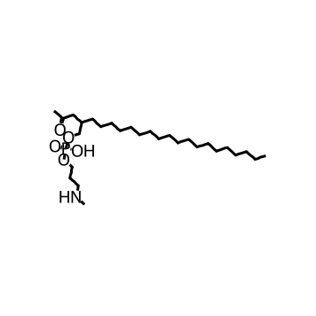 CCCCCCCCCCCCCCCCCCCC(COP(=O)(O)OCCCNC)CC(C)=O